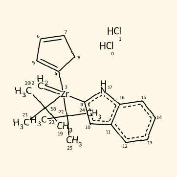 Cl.Cl.[CH2]=[Zr]([C]1=CC=CC1)([c]1cc2ccccc2[nH]1)([C](C)(C)C)[C](C)(C)C